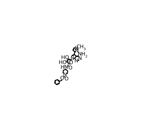 Cn1ccc(-c2cn([C@@H]3O[C@H](C(=O)NC4CCN(C(=O)OCc5ccccc5)CC4)[C@@H](O)[C@H]3O)c3ncnc(N)c23)n1